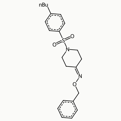 CCCCc1ccc(S(=O)(=O)N2CCC(=NOCc3ccccc3)CC2)cc1